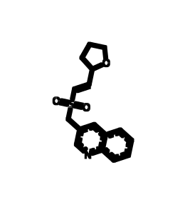 O=S(=O)(C=CC1CCCO1)Cc1cnc2ccccc2c1